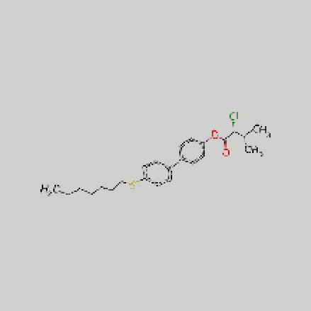 CCCCCCCSc1ccc(-c2ccc(OC(=O)[C@@H](Cl)C(C)C)cc2)cc1